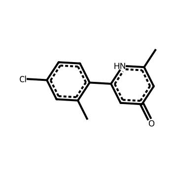 Cc1cc(=O)cc(-c2ccc(Cl)cc2C)[nH]1